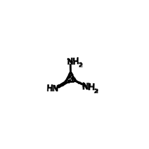 N=c1c(N)c1N